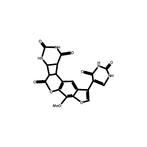 COc1c2c(cc3c(-c4c[nH]c(=O)[nH]c4=O)coc13)C1C3C(=O)NC(=O)NC3C1C(=O)O2